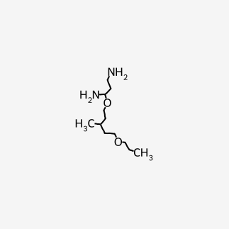 CCCOCCC(C)CCOC(N)CCN